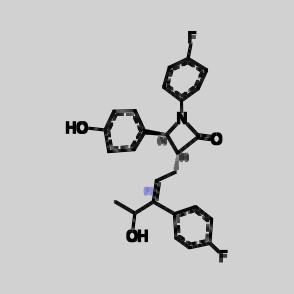 CC(O)/C(=C/C[C@H]1C(=O)N(c2ccc(F)cc2)[C@@H]1c1ccc(O)cc1)c1ccc(F)cc1